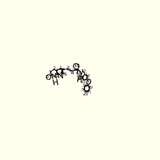 O=C1CCc2cc(/C=C/C(=O)N3CC4CC(Oc5ccccc5)C[C@H]4C3)cnc2N1